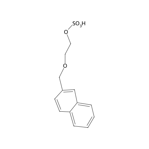 O=S(=O)(O)OCCOCc1ccc2ccccc2c1